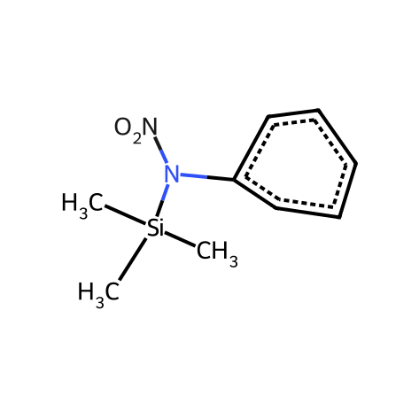 C[Si](C)(C)N(c1ccccc1)[N+](=O)[O-]